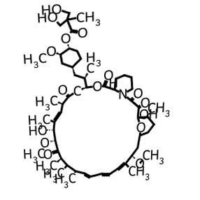 CO[C@H]1CC2CC[C@@H](C)[C@@](O)(O2)C(=O)C(=O)N2CCCC[C@H]2C(=O)O[C@H]([C@H](C)C[C@@H]2CC[C@@H](OC(=O)C(C)(CO)CO)[C@H](OC)C2)CC(=O)[C@H](C)/C=C(\C)[C@@H](O)[C@@H](OC)C(=O)[C@H](C)C(C)[C@H](C)/C=C/C=C/C=C/1C